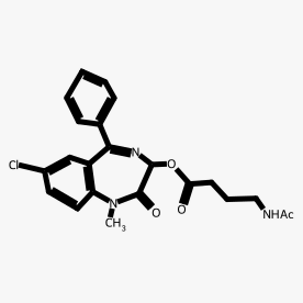 CC(=O)NCCCC(=O)OC1N=C(c2ccccc2)c2cc(Cl)ccc2N(C)C1=O